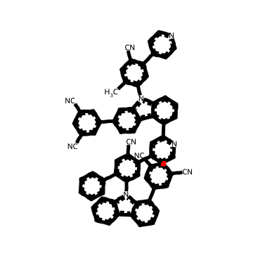 Cc1cc(C#N)c(-c2ccncc2)cc1-n1c2cc(-c3cc(C#N)cc(C#N)c3)ccc2c2c(-c3cc(-c4cc(-n5c6ccccc6c6cccc(-c7cc(C#N)cc(C#N)c7)c65)c(-c5ccccc5)cc4C#N)ccn3)cccc21